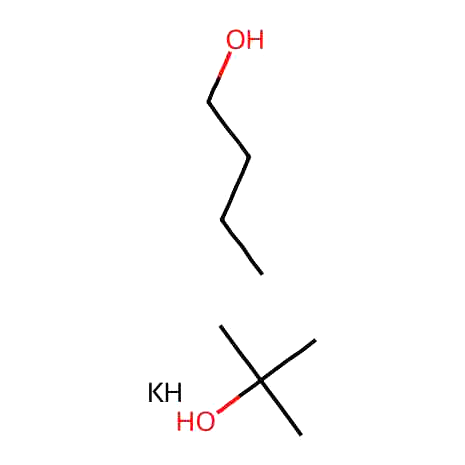 CC(C)(C)O.CCCCO.[KH]